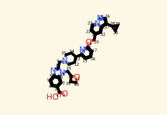 O=C(O)c1ccc2nc(CN3CCC(c4cccc(OCc5ccn6ncc(C7CC7)c6c5)n4)CC3)n(CC3CCO3)c2c1